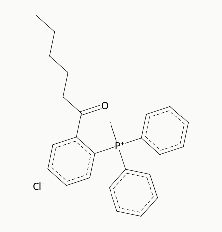 CCCCCC(=O)c1ccccc1[P+](C)(c1ccccc1)c1ccccc1.[Cl-]